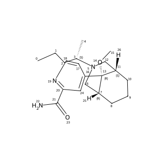 CCC[C@H](C)N1C[C@H]2CCC[C@@H](C1)[C@]2(OC)c1ccnc(C(N)=O)c1